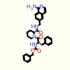 Nc1nccc2cc(CNC(=O)[C@@H]3CCCCN3C(=O)[C@@H](Cc3ccccc3)NC(=O)OCc3ccccc3)ccc12